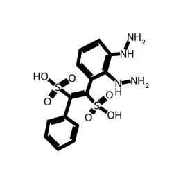 NNc1cccc(C(=C(c2ccccc2)S(=O)(=O)O)S(=O)(=O)O)c1NN